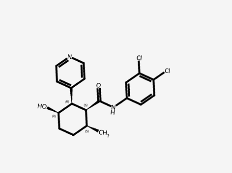 C[C@H]1CC[C@@H](O)[C@@H](c2ccncc2)[C@H]1C(=O)Nc1ccc(Cl)c(Cl)c1